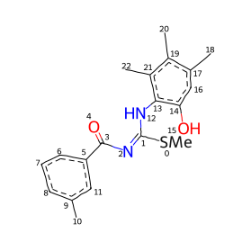 CSC(=NC(=O)c1cccc(C)c1)Nc1c(O)cc(C)c(C)c1C